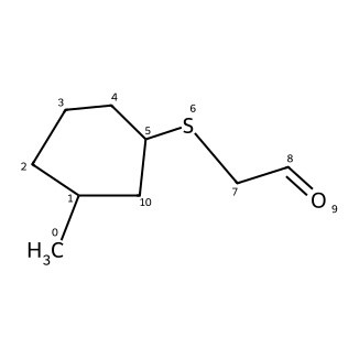 CC1CCCC(SCC=O)C1